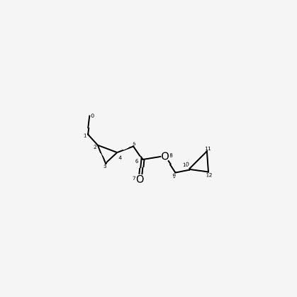 CCC1CC1CC(=O)OCC1CC1